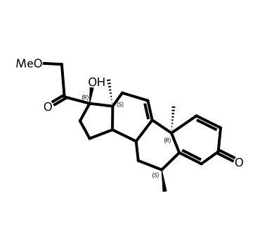 COCC(=O)[C@@]1(O)CCC2C3C[C@H](C)C4=CC(=O)C=C[C@]4(C)C3=CC[C@@]21C